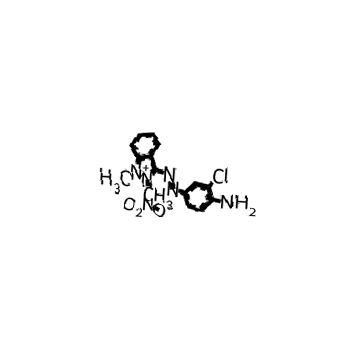 Cn1c(N=Nc2ccc(N)c(Cl)c2)c2ccccc2[n+]1C.O=[N+]([O-])[O-]